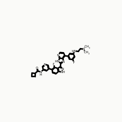 CN(C)CCNc1cc(F)cc(-c2ccnc3[nH]c(-c4n[nH]c5ccc(-c6cncc(NC(=O)C7CCC7)c6)c(F)c45)nc23)c1